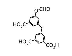 O=COc1cc(Cc2cc(C(=O)O)cc(C(=O)O)c2)cc(C(=O)O)c1